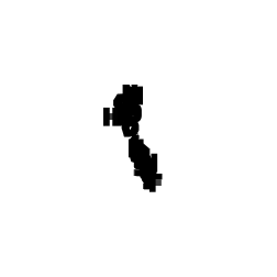 CC(F)COc1nc2c(s1)CCN(CC[C@H]1CC[C@H](NC(=O)c3cccc4nn(C)cc34)CC1)CC2